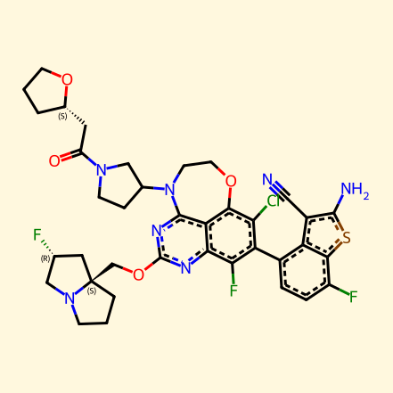 N#Cc1c(N)sc2c(F)ccc(-c3c(Cl)c4c5c(nc(OC[C@@]67CCCN6C[C@H](F)C7)nc5c3F)N(C3CCN(C(=O)C[C@@H]5CCCO5)C3)CCO4)c12